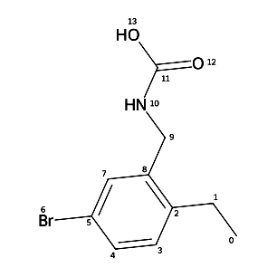 CCc1ccc(Br)cc1CNC(=O)O